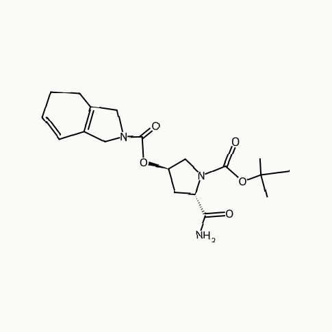 CC(C)(C)OC(=O)N1C[C@H](OC(=O)N2CC3=C(CCC=C3)C2)C[C@H]1C(N)=O